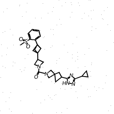 CS(=O)(=O)c1ccccc1C12CC(C3CN(C(=O)N4CC5(CC(c6nc(C7CC7)n[nH]6)C5)C4)C3)(C1)C2